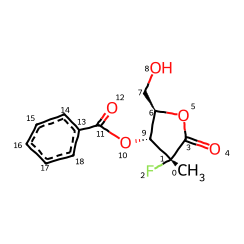 C[C@]1(F)C(=O)O[C@H](CO)[C@H]1OC(=O)c1ccccc1